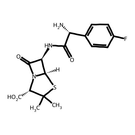 CC1(C)S[C@@H]2[C@H](NC(=O)[C@H](N)c3ccc(F)cc3)C(=O)N2[C@H]1C(=O)O